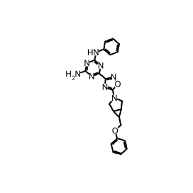 Nc1nc(Nc2ccccc2)nc(-c2noc(N3CC4C(COc5ccccc5)C4C3)n2)n1